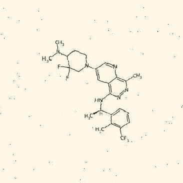 Cc1c([C@@H](C)Nc2nnc(C)c3ncc(N4CCC(N(C)C)C(F)(F)C4)cc23)cccc1C(F)(F)F